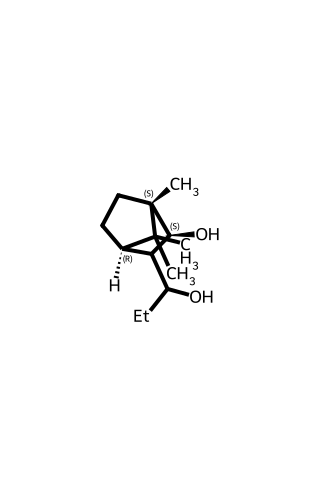 CCC(O)C1[C@H]2CC[C@](C)([C@H]1O)C2(C)C